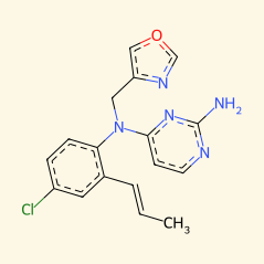 C/C=C/c1cc(Cl)ccc1N(Cc1cocn1)c1ccnc(N)n1